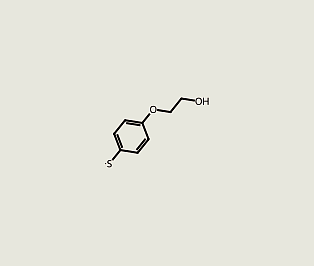 OCCOc1ccc([S])cc1